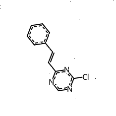 Clc1ncnc(C=Cc2ccccc2)n1